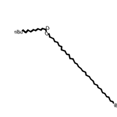 CCCCC=CCCCCCCCC(=O)OCCCCCCCCCCCCCCCCCCCCCCCCCCCCCCCCCC(C)CC